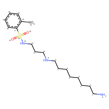 NCCCCCCCCNCCCNS(=O)(=O)c1ccccc1[N+](=O)[O-]